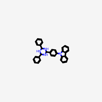 c1ccc(C2NC(c3ccccc3)NC(c3ccc(-n4c5ccccc5c5ccccc54)cc3)N2)cc1